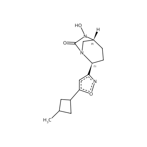 CC1CC(c2cc([C@@H]3CC[C@@H]4CN3C(=O)N4O)no2)C1